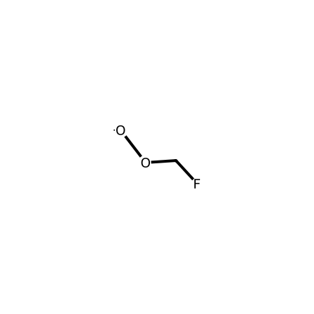 [O]OCF